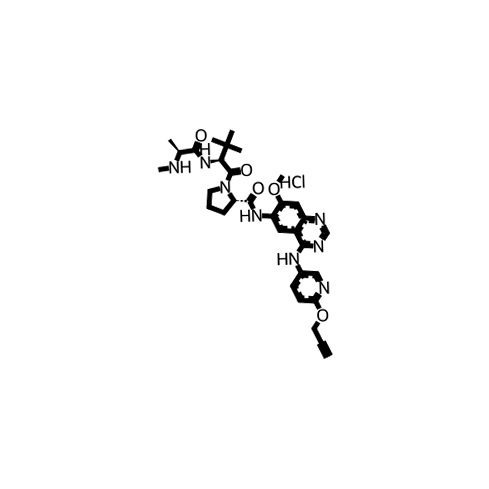 C#CCOc1ccc(Nc2ncnc3cc(OC)c(NC(=O)[C@@H]4CCCN4C(=O)[C@@H](NC(=O)[C@H](C)NC)C(C)(C)C)cc23)cn1.Cl